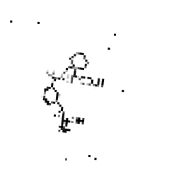 O=C(O)CC1(CNC(=O)c2cccc(CON(O)O)c2)CCCCC1